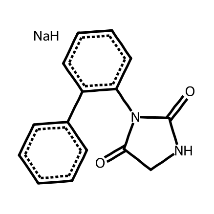 O=C1CNC(=O)N1c1ccccc1-c1ccccc1.[NaH]